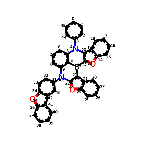 c1ccc(N2c3cccc4c3B(c3oc5ccccc5c32)c2c(oc3ccccc23)N4c2ccc3oc4ccccc4c3c2)cc1